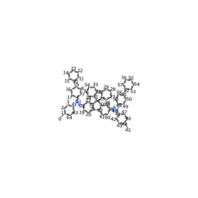 Cc1ccc(N(c2ccc(-c3ccccc3)cc2)c2ccc3c(c2)C(c2ccccc2)(c2ccccc2)c2cc(N(c4ccc(C)cc4)c4ccc(-c5ccccc5)cc4)ccc2-3)cc1